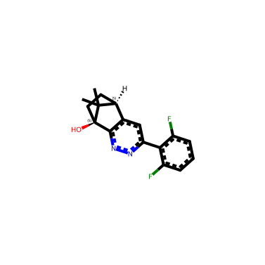 CC1(C)[C@H]2CC[C@@]1(O)c1nnc(-c3c(F)cccc3F)cc12